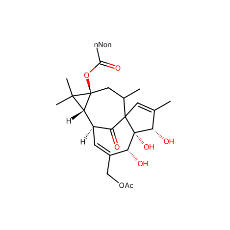 CCCCCCCCCC(=O)O[C@@]12CC(C)C34C=C(C)[C@H](O)[C@@]3(O)[C@H](O)C(COC(C)=O)=C[C@H](C4=O)[C@@H]1C2(C)C